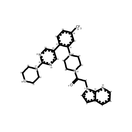 O=C(Cn1ccc2cccnc21)N1CCN(c2cc(C(F)(F)F)ccc2-c2cnc(N3CCOCC3)nc2)CC1